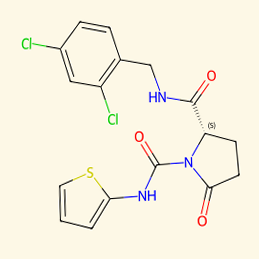 O=C(NCc1ccc(Cl)cc1Cl)[C@@H]1CCC(=O)N1C(=O)Nc1cccs1